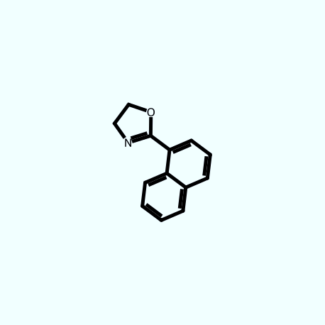 c1ccc2c(C3=NCCO3)cccc2c1